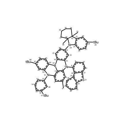 Cc1cc2c3c(c1)N(c1cccc4sc5ccccc5c14)c1cc(N4c5ccc(C(C)(C)C)cc5C5(C)CCCCC45C)ccc1B3c1ccc(C(C)(C)C)cc1N2c1cccc(C(C)(C)C)c1